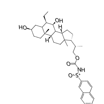 CC[C@@H]1C2C[C@H](O)CC[C@@]2(C)[C@H]2CCC3(C)[C@@H]([C@H](C)COC(=O)N[S+]([O-])c4ccc5ccccc5c4)CC[C@H]3C2[C@@H]1O